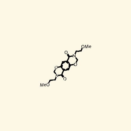 COCCN1COc2cc3c(cc2C1=O)OCN(CCOC)C3=O